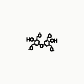 COCc1cc(Oc2cc(COC)c(O)c(COC)c2)cc(COC)c1O